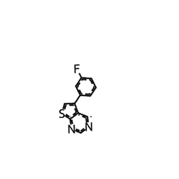 Fc1cccc(-c2csc3ncn[c]c23)c1